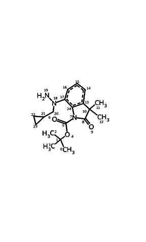 CC(C)(C)OC(=O)N1C(=O)C(C)(C)c2cccc(N(N)CC3CC3)c21